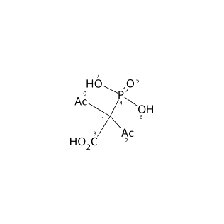 CC(=O)C(C(C)=O)(C(=O)O)P(=O)(O)O